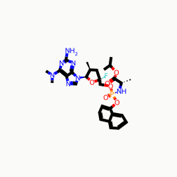 CC(C)OC(=O)[C@H](C)N[P@](=O)(OC[C@]1(F)C[C@H](C)[C@H](n2cnc3c(N(C)C)nc(N)nc32)O1)Oc1cccc2ccccc12